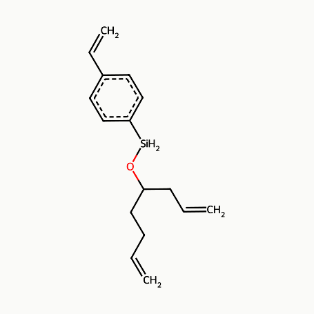 C=CCCC(CC=C)O[SiH2]c1ccc(C=C)cc1